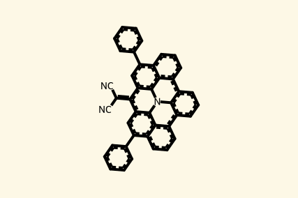 N#CC(C#N)=c1c2cc(-c3ccccc3)c3cccc4c5cccc6c5N(c2c34)c2c1cc(-c1ccccc1)c1cccc6c21